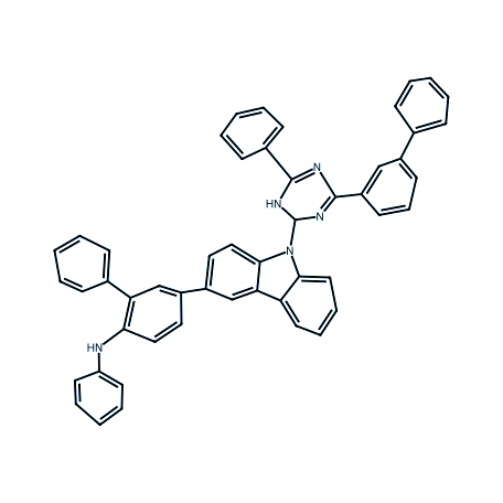 c1ccc(Nc2ccc(-c3ccc4c(c3)c3ccccc3n4C3N=C(c4cccc(-c5ccccc5)c4)N=C(c4ccccc4)N3)cc2-c2ccccc2)cc1